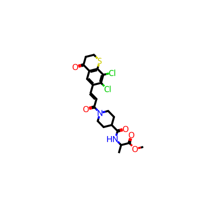 COC(=O)C(C)NC(=O)C1CCN(C(=O)/C=C/c2cc3c(c(Cl)c2Cl)SCCC3=O)CC1